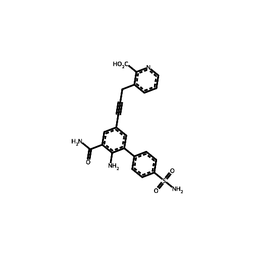 NC(=O)c1cc(C#CCc2cccnc2C(=O)O)cc(-c2ccc(S(N)(=O)=O)cc2)c1N